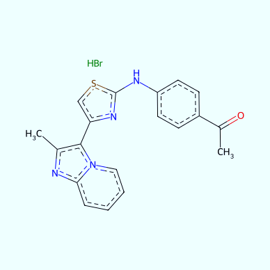 Br.CC(=O)c1ccc(Nc2nc(-c3c(C)nc4ccccn34)cs2)cc1